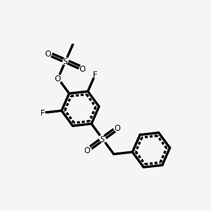 CS(=O)(=O)Oc1c(F)cc(S(=O)(=O)Cc2ccccc2)cc1F